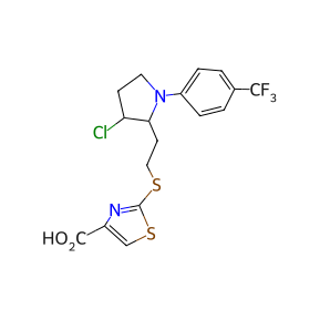 O=C(O)c1csc(SCCC2C(Cl)CCN2c2ccc(C(F)(F)F)cc2)n1